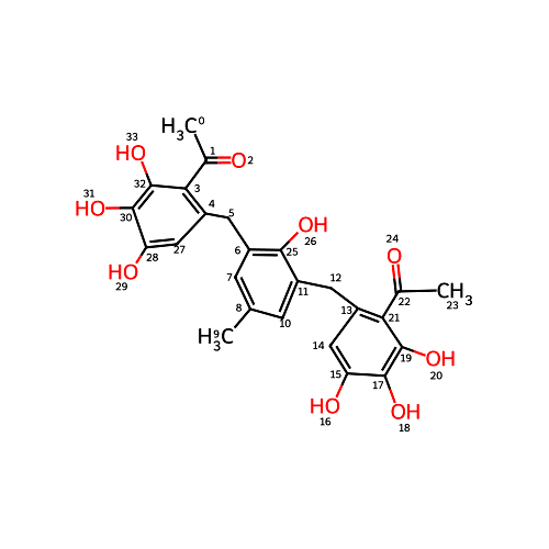 CC(=O)c1c(Cc2cc(C)cc(Cc3cc(O)c(O)c(O)c3C(C)=O)c2O)cc(O)c(O)c1O